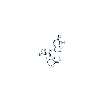 CCC1(CC(O)(C=Nc2cccc3[nH]c(=O)ccc23)C(F)(F)F)CCOc2ccccc21